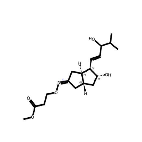 COC(=O)CCO/N=C1\C[C@H]2C[C@@H](O)[C@H](C=CC(O)C(C)C)[C@@H]2C1